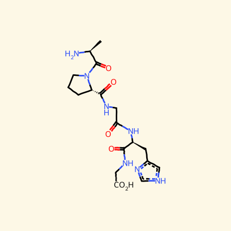 C[C@H](N)C(=O)N1CCC[C@H]1C(=O)NCC(=O)N[C@@H](Cc1c[nH]cn1)C(=O)NCC(=O)O